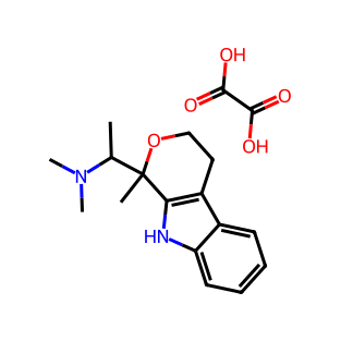 CC(N(C)C)C1(C)OCCc2c1[nH]c1ccccc21.O=C(O)C(=O)O